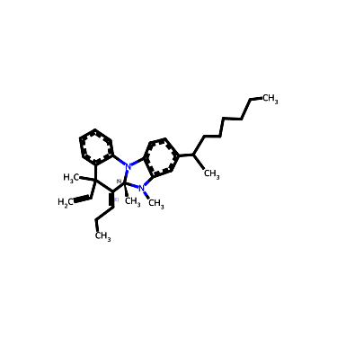 C=CC1(C)/C(=C\CC)[C@@]2(C)N(C)c3cc(C(C)CCCCCC)ccc3N2c2ccccc21